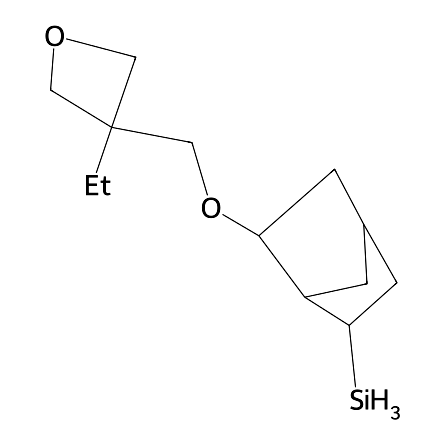 CCC1(COC2CC3CC([SiH3])C2C3)COC1